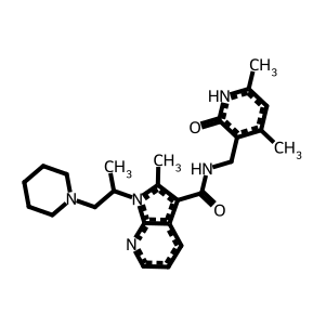 Cc1cc(C)c(CNC(=O)c2c(C)n(C(C)CN3CCCCC3)c3ncccc23)c(=O)[nH]1